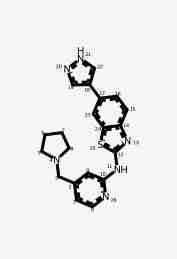 c1cc(CN2CCCC2)cc(Nc2nc3ccc(-c4cn[nH]c4)cc3s2)n1